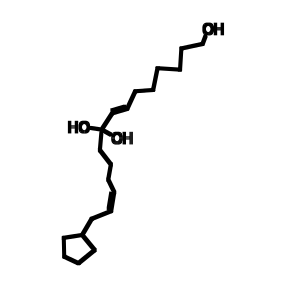 OCCCCCCC=CC(O)(O)CCC/C=C\CC1CCCC1